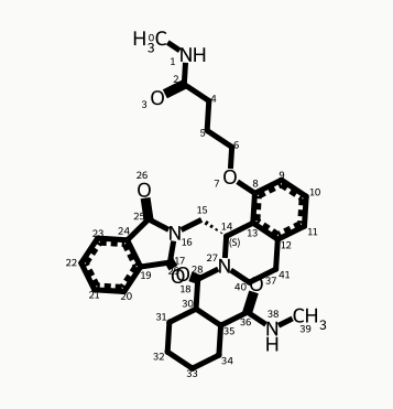 CNC(=O)CCCOc1cccc2c1[C@@H](CN1C(=O)c3ccccc3C1=O)N(C(=O)C1CCCCC1C(=O)NC)CC2